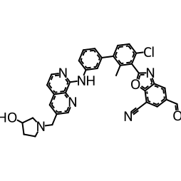 Cc1c(-c2cccc(Nc3nccc4cc(CN5CCC(O)C5)cnc34)c2)ccc(Cl)c1-c1nc2cc(C=O)cc(C#N)c2o1